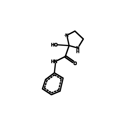 O=C(Nc1ccccc1)C1(O)[N]CCN1